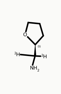 [2H]C([2H])(N)[C@@H]1CCCO1